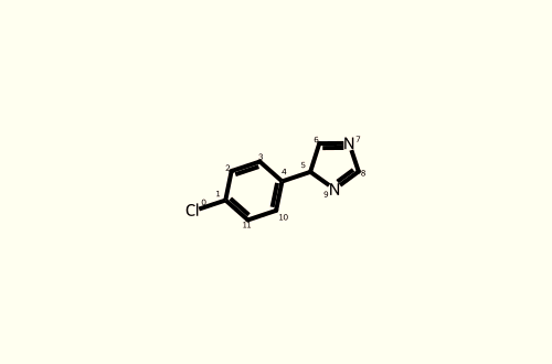 Clc1ccc(C2C=NC=N2)cc1